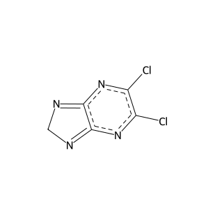 Clc1nc2c(nc1Cl)=NCN=2